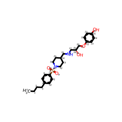 CCCCc1ccc(S(=O)(=O)N2CCC(CNC[C@H](O)COc3ccc(O)cc3)CC2)cc1